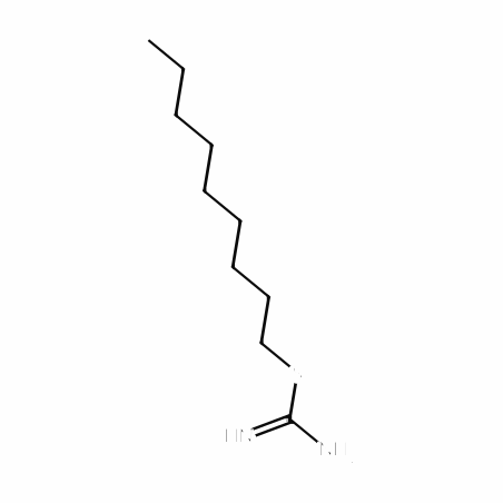 CCCCCCCCCSC(=N)N